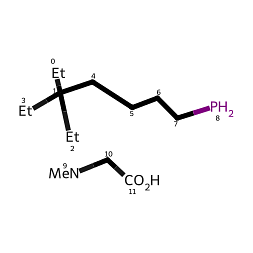 CCC(CC)(CC)CCCCP.CNCC(=O)O